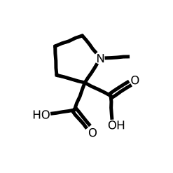 CN1CCCC1(C(=O)O)C(=O)O